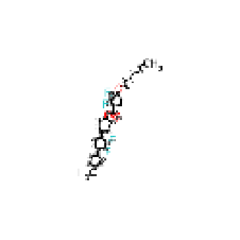 CCCCCCCOc1ccc(C(=O)OC2CCC(c3ccc(C4CCC(C)CC4)c(F)c3F)CC2)c(F)c1F